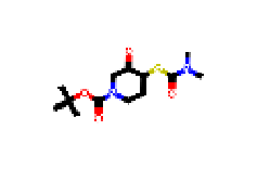 CN(C)C(=O)SC1CCN(C(=O)OC(C)(C)C)CC1=O